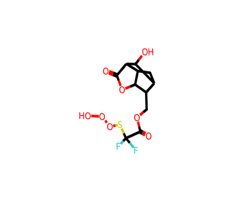 O=C1OC2C(COC(=O)C(F)(F)SOOO)C3CC2C1C3O